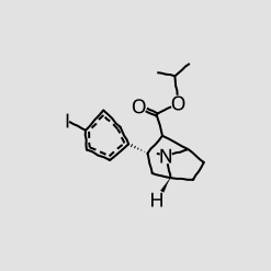 CC(C)OC(=O)C1C2CC[C@H](C[C@@H]1c1ccc(I)cc1)N2C